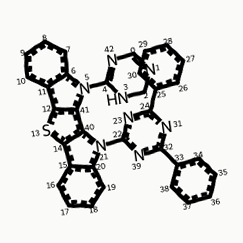 C1=NCNC(n2c3ccccc3c3sc4c5ccccc5n(-c5nc(-c6ccccc6)nc(-c6ccccc6)n5)c4c32)=N1